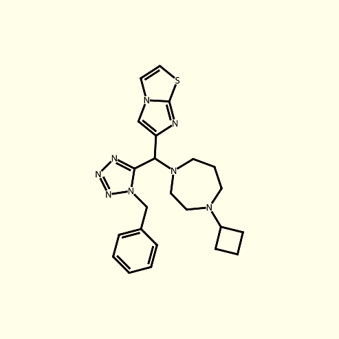 c1ccc(Cn2nnnc2C(c2cn3ccsc3n2)N2CCCN(C3CCC3)CC2)cc1